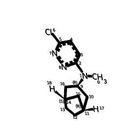 CN(c1ccc(Cl)nn1)[C@H]1C[C@@H]2CC[C@@H](C2)C1